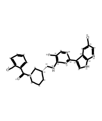 O=C(c1ccccc1Cl)N1CCC[C@@H](CNc2nc(-c3c[nH]c4ncc(Cl)cc34)ncc2F)C1